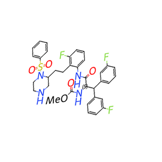 COC(=O)N[C@H](C(=O)Nc1cccc(F)c1CCC1CNCCN1S(=O)(=O)c1ccccc1)C(c1cccc(F)c1)c1cccc(F)c1